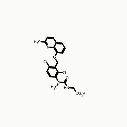 Cc1ccc2cccc(OCc3c(Cl)ccc(N(C)C(=O)NCC(=O)O)c3Cl)c2n1